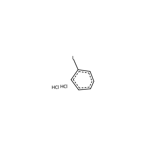 Cl.Cl.Ic1ccccc1